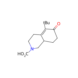 CC(C)(C)C1=C2CCN(C(=O)O)CC2CCC1=O